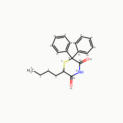 CCCCC1SC(c2ccccc2)(c2ccccc2)C(=O)NC1=O